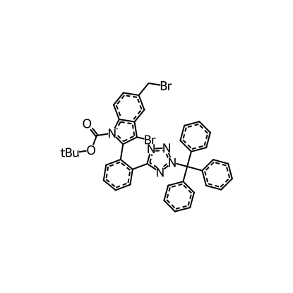 CC(C)(C)OC(=O)n1c(-c2ccccc2-c2nnn(C(c3ccccc3)(c3ccccc3)c3ccccc3)n2)c(Br)c2cc(CBr)ccc21